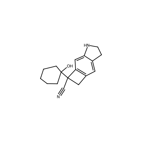 N#CC1(C2(O)CCCCC2)Cc2cc3c(cc21)NCC3